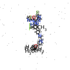 Cc1c(-c2ccc(N3CC(CN4CCC(CO[Si](C)(C)C(C)(C)C)CC4)C3)cc2)cc(C(F)F)c2cn(C(C(=O)Nc3nccs3)c3ncn4c3C[C@@H](F)C4)nc12